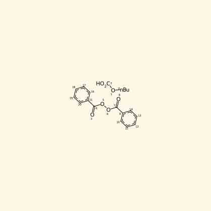 CCCCOC(=O)O.O=C(OOC(=O)c1ccccc1)c1ccccc1